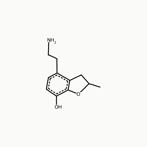 CC1Cc2c(CCN)ccc(O)c2O1